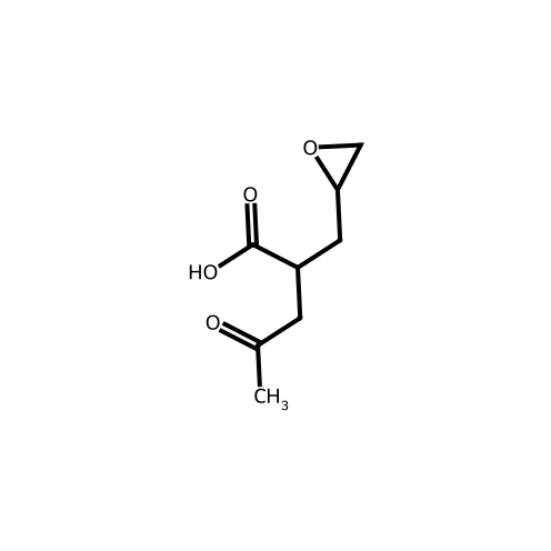 CC(=O)CC(CC1CO1)C(=O)O